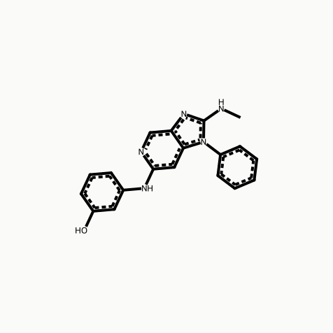 CNc1nc2cnc(Nc3cccc(O)c3)cc2n1-c1ccccc1